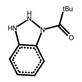 CC(C)(C)C(=O)N1NNc2ccccc21